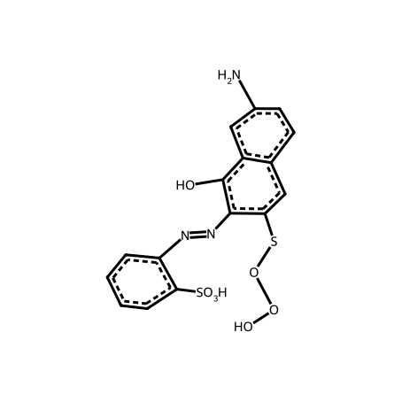 Nc1ccc2cc(SOOO)c(N=Nc3ccccc3S(=O)(=O)O)c(O)c2c1